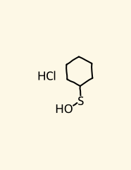 Cl.OSC1CCCCC1